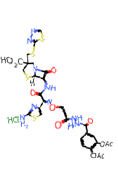 CC(=O)Oc1ccc(C(=O)NNC(=O)CON=C(C(=O)NC2C(=O)N3CC(CSc4nncs4)(C(=O)O)CS[C@H]23)c2csc(N)n2)cc1OC(C)=O.Cl